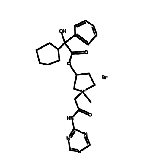 C[N+]1(CC(=O)Nc2ncncn2)CCC(OC(=O)C(O)(c2ccccc2)C2CCCCC2)C1.[Br-]